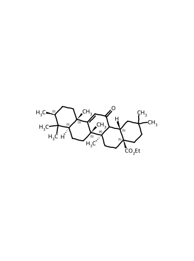 CCOC(=O)[C@]12CCC(C)(C)C[C@H]1C1C(=O)C=C3[C@@]4(C)CC[C@H](C)C(C)(C)[C@@H]4CC[C@@]3(C)[C@]1(C)CC2